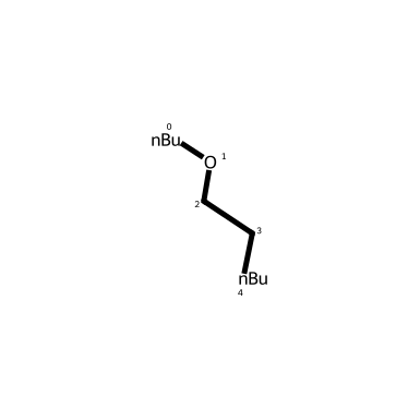 CC[CH]COCCCCCC